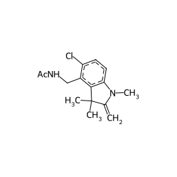 C=C1N(C)c2ccc(Cl)c(CNC(C)=O)c2C1(C)C